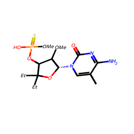 CCC1(CC)O[C@@H](n2cc(C)c(N)nc2=O)C(OC)C1OP(O)(=S)OC